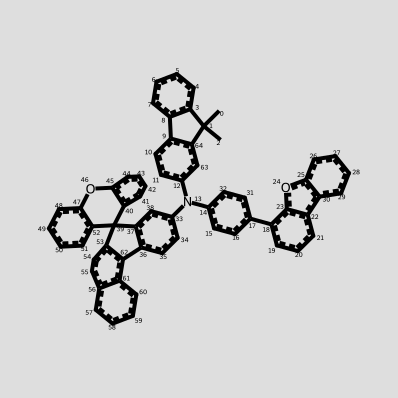 CC1(C)c2ccccc2-c2ccc(N(c3ccc(-c4cccc5c4oc4ccccc45)cc3)c3ccc4c(c3)C3(c5ccccc5Oc5ccccc53)c3ccc5ccccc5c3-4)cc21